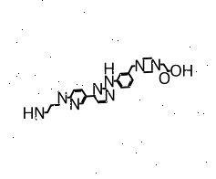 CNCCCN(C)c1ccc(-c2ccnc(Nc3cccc(CN4CCN(CC(=O)O)CC4)c3)n2)cn1